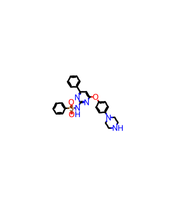 O=S(=O)(Nc1nc(Oc2ccc(N3CCNCC3)cc2)cc(-c2ccccc2)n1)c1ccccc1